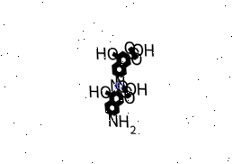 Nc1ccc2c(O)c(/N=N/c3ccc4c(O)cc(S(=O)(=O)O)cc4c3)c(S(=O)(=O)O)cc2c1